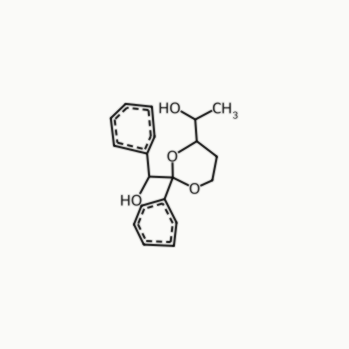 CC(O)C1CCOC(c2ccccc2)(C(O)c2ccccc2)O1